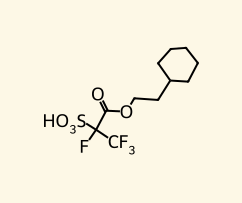 O=C(OCCC1CCCCC1)C(F)(C(F)(F)F)S(=O)(=O)O